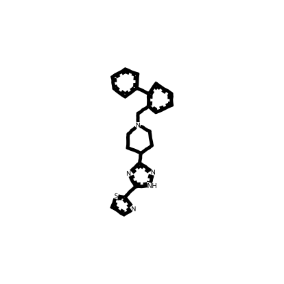 [c]1cccc(CN2CCC(c3n[nH]c(-c4nccs4)n3)CC2)c1-c1ccccc1